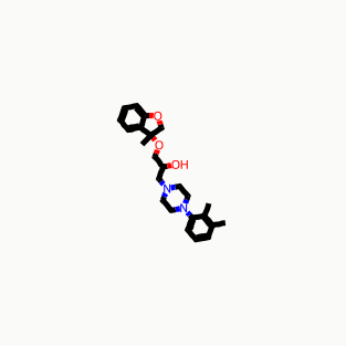 Cc1cccc(N2CCN(CC(O)COC3(C)COc4ccccc43)CC2)c1C